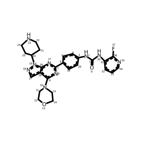 O=C(Nc1ccc(-c2nc(N3CCOCC3)c3cnn(C4CCNCC4)c3n2)cc1)Nc1cccnc1F